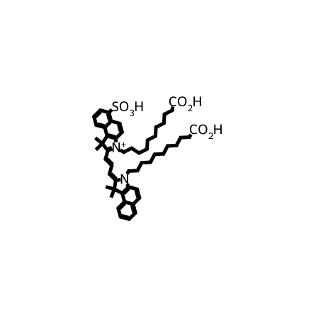 CC1(C)C(/C=C/C=C2\N(CCCCCCCCCCC(=O)O)c3ccc4ccccc4c3C2(C)C)=[N+](CCCCCCCCCCC(=O)O)c2ccc3c(S(=O)(=O)O)cccc3c21